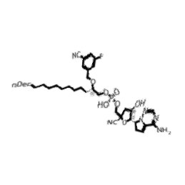 CCCCCCCCCCCCCCCCCCC[C@@H](COP(=O)(O)OC[C@]1(C#N)C[C@@H](O)[C@H](C2CC=C3C(N)=NC=NN32)O1)OCc1cc(F)cc(C#N)c1